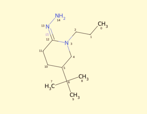 CCCN1CC(C(C)(C)C)CC/C1=N/N